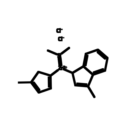 CC1=CC=[C]([Zr+2]([CH]2C=C(C)c3ccccc32)=[Si](C)C)C1.[Cl-].[Cl-]